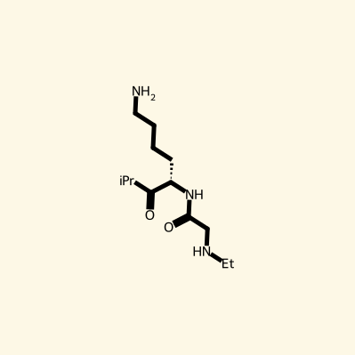 CCNCC(=O)N[C@@H](CCCCN)C(=O)C(C)C